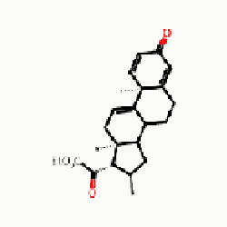 CCOC(=O)C(=O)[C@H]1[C@H](C)CC2C3CCC4=CC(=O)C=C[C@]4(C)C3=CC[C@@]21C